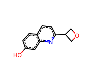 Oc1ccc2ccc(C3COC3)nc2c1